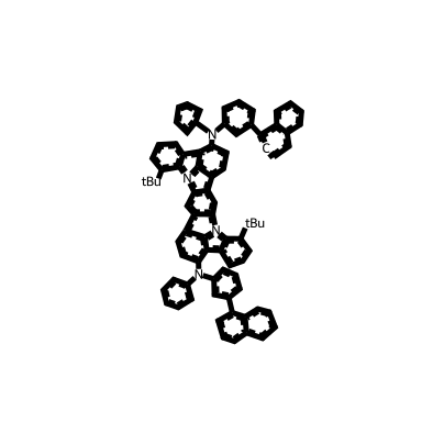 CC(C)(C)c1cccc2c3c(N(c4ccccc4)c4cccc(-c5cccc6ccccc56)c4)ccc4c5cc6c(cc5n(c12)c43)c1ccc(N(c2ccccc2)c2cccc(-c3cccc4ccccc34)c2)c2c3cccc(C(C)(C)C)c3n6c12